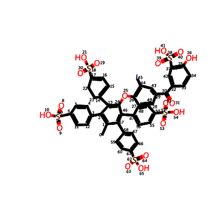 Cc1c(-c2ccc(S(=O)(=O)O)cc2)c(C2=CC=C(S(=O)(=O)O)CC2)c(Oc2ccc(C(=O)c3ccc(O)c(S(=O)(=O)O)c3)cc2I)c(-c2ccc(S(=O)(=O)O)cc2)c1-c1ccc(S(=O)(=O)O)cc1